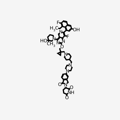 CCc1c(F)ccc2cc(O)cc(-c3ncc4c(N5CCCC(C)(O)C5)nc(OCC5(CN6CCC(CN7CCN(c8ccc9c(c8)CN([C@H]8CCC(=O)NC8=O)C9=O)CC7)CC6)CC5)nc4c3F)c12